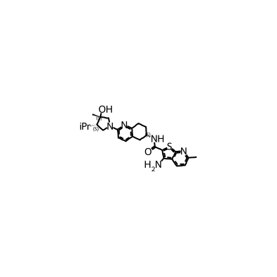 Cc1ccc2c(N)c(C(=O)N[C@H]3CCc4nc(N5C[C@H](C(C)C)[C@](C)(O)C5)ccc4C3)sc2n1